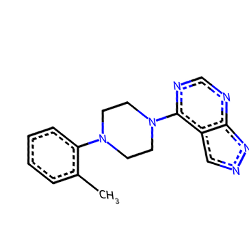 Cc1ccccc1N1CCN(c2ncnc3[nH]ncc23)CC1